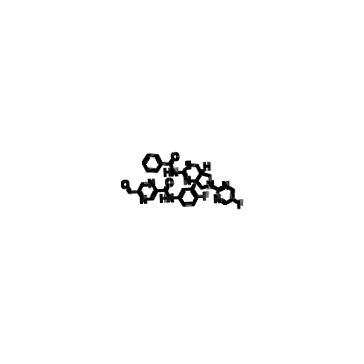 O=Cc1cnc(C(=O)Nc2ccc(F)c([C@]34CN(c5ncc(F)cn5)C[C@H]3CSC(NC(=O)c3ccccc3)=N4)c2)cn1